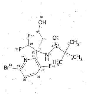 CC(C)(C)[S+]([O-])N[C@@](CCO)(c1nc(Br)ccc1F)C(F)F